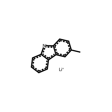 Cc1ccc2[n-]c3ccccc3c2c1.[Li+]